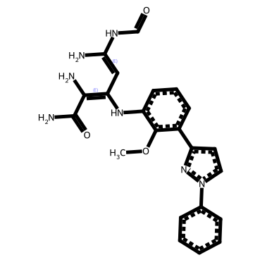 COc1c(NC(/C=C(\N)NC=O)=C(/N)C(N)=O)cccc1-c1ccn(-c2ccccc2)n1